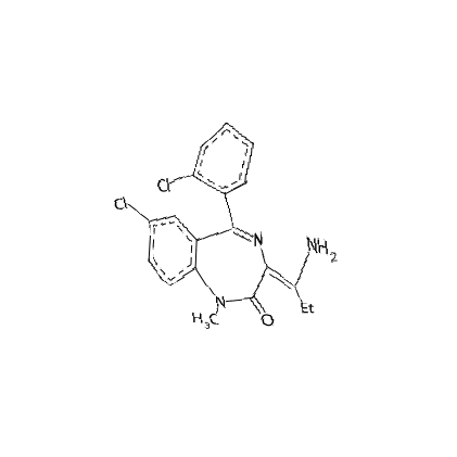 CCC(N)=C1N=C(c2ccccc2Cl)c2cc(Cl)ccc2N(C)C1=O